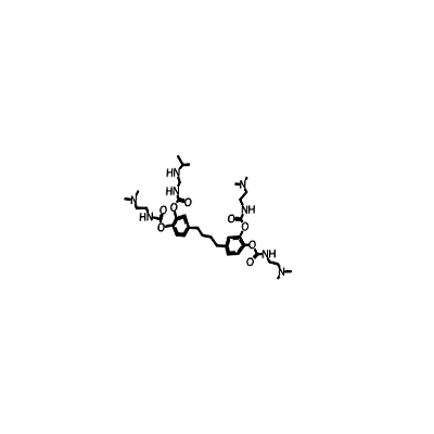 CC(C)NCNC(=O)Oc1cc(CCCCc2ccc(OC(=O)NCCN(C)C)c(OC(=O)NCCN(C)C)c2)ccc1OC(=O)NCCN(C)C